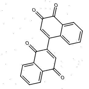 O=C1C=C(C2=CC(=O)c3ccccc3C2=O)c2ccccc2C1=O